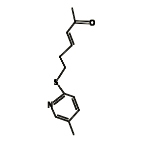 CC(=O)/C=C/CCSc1ccc(C)cn1